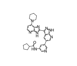 O=C(Nc1cncc(-c2cnc3[nH]nc(-c4nc5c(N6CCCCC6)ccnc5[nH]4)c3c2)c1)C1CCCC1